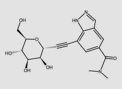 CN(C)C(=O)c1cc(C#C[C@H]2O[C@H](CO)[C@@H](O)[C@H](O)[C@@H]2O)c2[nH]ncc2c1